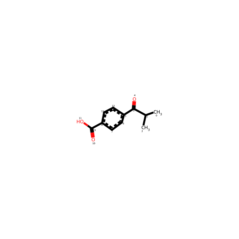 CC(C)C(=O)c1ccc(C(=O)O)cc1